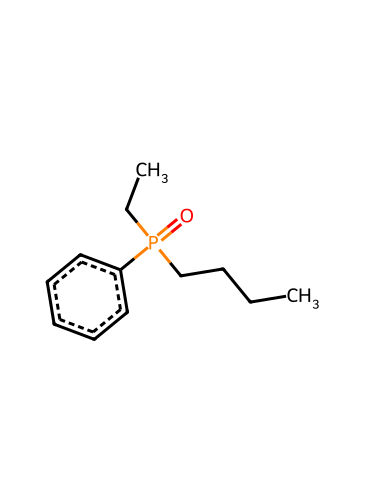 CCCCP(=O)(CC)c1ccccc1